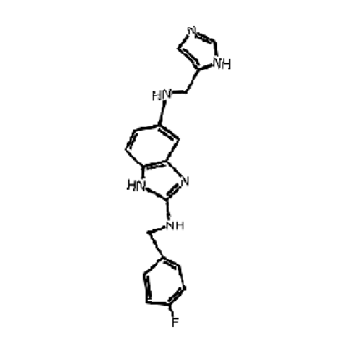 Fc1ccc(CNc2nc3cc(NCc4cnc[nH]4)ccc3[nH]2)cc1